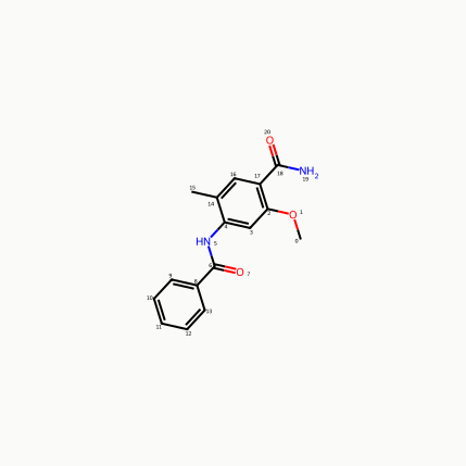 COc1cc(NC(=O)c2ccccc2)c(C)cc1C(N)=O